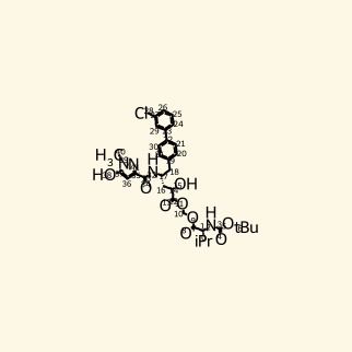 CC(C)[C@H](NC(=O)OC(C)(C)C)C(=O)OCOC(=O)C(O)C[C@@H](Cc1ccc(-c2cccc(Cl)c2)cc1)NC(=O)c1cc(O)n(C)n1